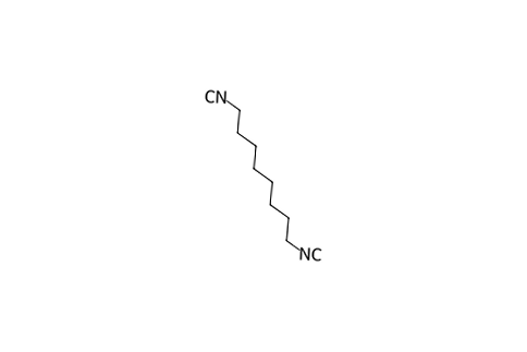 [C-]#[N+]CCCCCCCC[N+]#[C-]